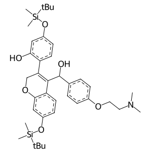 CN(C)CCOc1ccc(C(O)C2=C(c3ccc(O[Si](C)(C)C(C)(C)C)cc3O)COc3cc(O[Si](C)(C)C(C)(C)C)ccc32)cc1